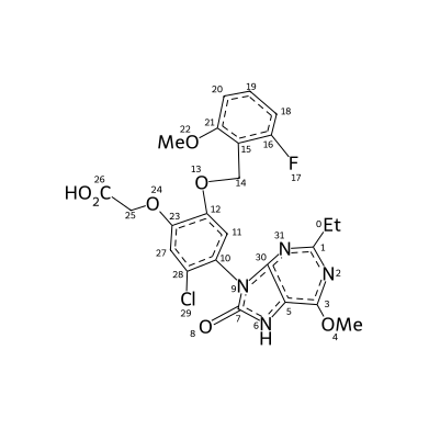 CCc1nc(OC)c2[nH]c(=O)n(-c3cc(OCc4c(F)cccc4OC)c(OCC(=O)O)cc3Cl)c2n1